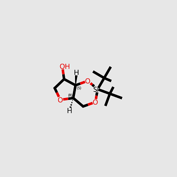 CC(C)(C)[Si]1(C(C)(C)C)OC[C@H]2OCC(O)[C@@H]2O1